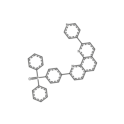 O=P(c1ccccc1)(c1ccccc1)c1ccc(-c2ccc3ccc4ccc(-c5ccncc5)nc4c3n2)cc1